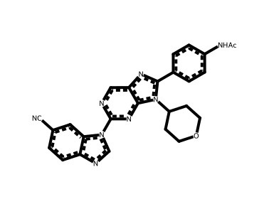 CC(=O)Nc1ccc(-c2nc3cnc(-n4cnc5ccc(C#N)cc54)nc3n2C2CCOCC2)cc1